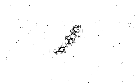 COc1ccc(CNc2ncnc3c2ncn3C2OC(CO)C(O)C2O)cc1